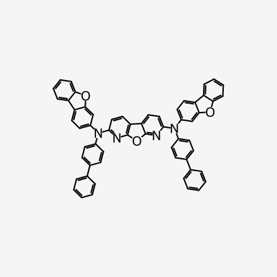 c1ccc(-c2ccc(N(c3ccc4c(c3)oc3ccccc34)c3ccc4c(n3)oc3nc(N(c5ccc(-c6ccccc6)cc5)c5ccc6c(c5)oc5ccccc56)ccc34)cc2)cc1